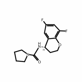 O=C(N[C@H]1CCOc2c(F)cc(F)cc21)N1CCCC1